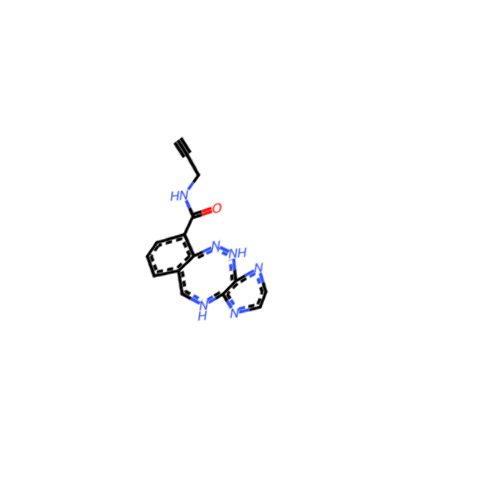 C#CCNC(=O)c1cccc2c[nH]c3nccnc3[nH]nc12